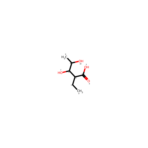 CCC(C(=O)O)C(O)C(C)O